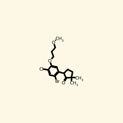 COCCCOc1cc(C2CCC(C)(C)C2=O)c(Br)cc1Cl